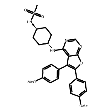 COc1ccc(-c2oc3ncnc(N[C@H]4CC[C@H](NS(C)(=O)=O)CC4)c3c2-c2ccc(OC)cc2)cc1